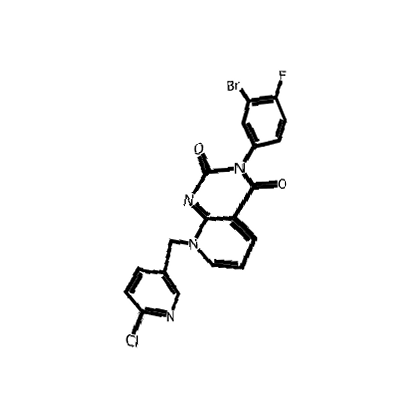 O=c1nc2n(Cc3ccc(Cl)nc3)cccc-2c(=O)n1-c1ccc(F)c(Br)c1